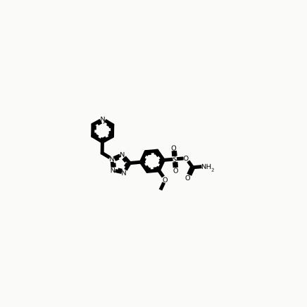 COc1cc(-c2nnn(Cc3ccncc3)n2)ccc1S(=O)(=O)OC(N)=O